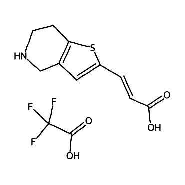 O=C(O)/C=C/c1cc2c(s1)CCNC2.O=C(O)C(F)(F)F